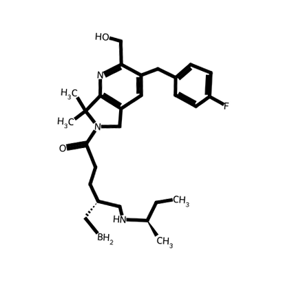 BC[C@H](CCC(=O)N1Cc2cc(Cc3ccc(F)cc3)c(CO)nc2C1(C)C)CN[C@H](C)CC